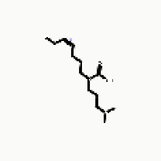 CC/C=C\CCCN(CCCN(C)C)C(=O)O